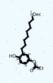 CCCCCCCCCCCCCCCCCCc1cc(OC(=O)CC)ccc1O